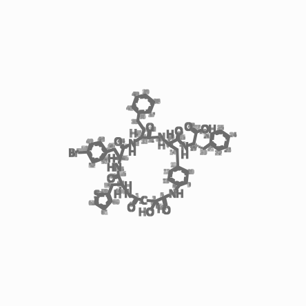 O=C1C[C@@H](O)C(=O)Nc2ccc(cc2)C[C@H](C(=O)N[C@@H](Cc2ccccc2)C(=O)O)NC(=O)[C@H](CCc2ccccc2)NC(=O)[C@@H](Cc2ccc(Br)cc2)NC(=O)[C@H](Cc2cccs2)N1